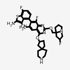 N#Cc1c(N)sc2c(F)ccc(-c3c(C(F)(F)F)cc4c(OC5CCC6(CCNCC6)C5)nc(OCC56CCCN5CC(F)C6)nc4c3F)c12